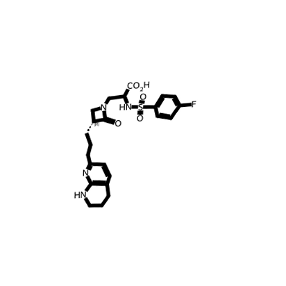 O=C(O)C(CN1C[C@@H](CCCc2ccc3c(n2)NCCC3)C1=O)NS(=O)(=O)c1ccc(F)cc1